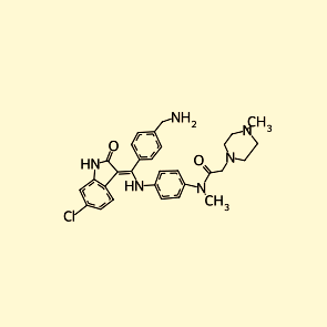 CN1CCN(CC(=O)N(C)c2ccc(NC(=C3C(=O)Nc4cc(Cl)ccc43)c3ccc(CN)cc3)cc2)CC1